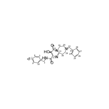 O=C(NCc1ccc(F)cc1)c1nc2n(c(=O)c1O)CCN(Cc1ccccc1)CC2